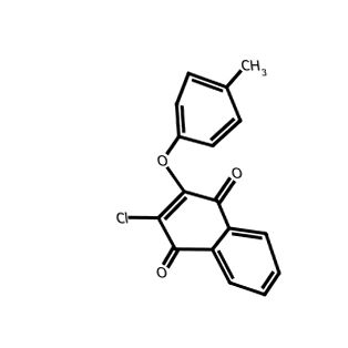 Cc1ccc(OC2=C(Cl)C(=O)c3ccccc3C2=O)cc1